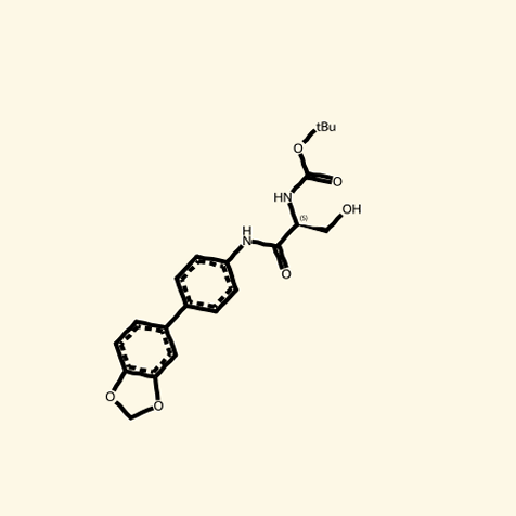 CC(C)(C)OC(=O)N[C@@H](CO)C(=O)Nc1ccc(-c2ccc3c(c2)OCO3)cc1